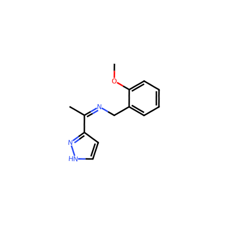 COc1ccccc1CN=C(C)c1cc[nH]n1